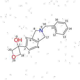 OC1(c2ccc3c(c2)CN(Cc2ccccc2)C3)COC1